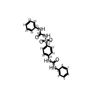 O=C(Nc1ccccc1)Nc1ccc(S(=O)(=O)NC(=O)Nc2ccccc2)cc1